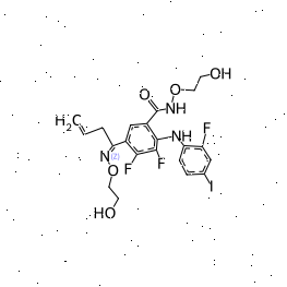 C=CC/C(=N/OCCO)c1cc(C(=O)NOCCO)c(Nc2ccc(I)cc2F)c(F)c1F